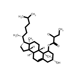 CCC(Cl)C(=O)OC1C[C@H](O)CC2=CC[C@H]3[C@@H]4CC[C@H]([C@H](C)CCCC(C)C)[C@@]4(C)CC[C@@H]3[C@]21C